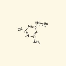 CC[C@H](C)Nc1cc(N)nc(Cl)n1